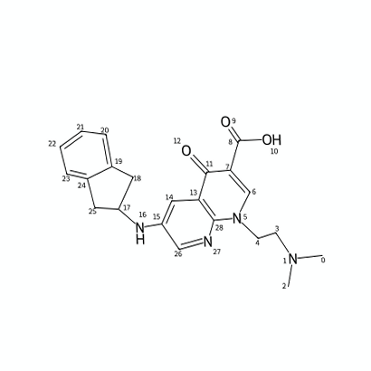 CN(C)CCn1cc(C(=O)O)c(=O)c2cc(NC3Cc4ccccc4C3)cnc21